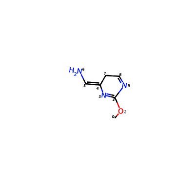 COC1=N/C(=C/N)CC=N1